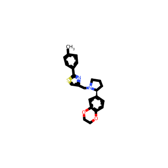 Cc1ccc(-c2nc(CN3CCC[C@H]3c3ccc4c(c3)OCCO4)cs2)cc1